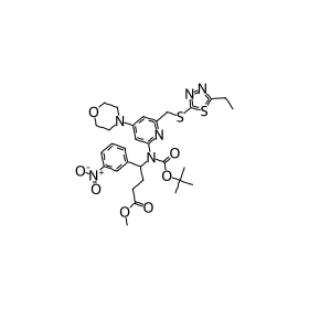 CCc1nnc(SCc2cc(N3CCOCC3)cc(N(C(=O)OC(C)(C)C)C(CCC(=O)OC)c3cccc([N+](=O)[O-])c3)n2)s1